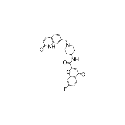 O=C(NC1CCN(Cc2ccc3ccc(=O)[nH]c3c2)CC1)c1cc(=O)c2ccc(F)cc2o1